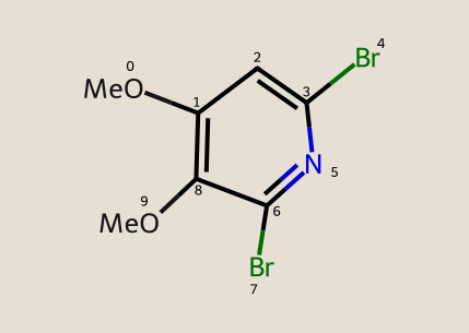 COc1cc(Br)nc(Br)c1OC